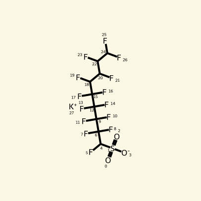 O=S(=O)([O-])C(F)C(F)(F)C(F)(F)C(F)(F)C(F)(F)C(F)C(F)C(F)C(F)F.[K+]